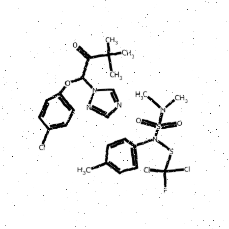 CC(C)(C)C(=O)C(Oc1ccc(Cl)cc1)n1cncn1.Cc1ccc(N(SC(F)(Cl)Cl)S(=O)(=O)N(C)C)cc1